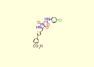 O=C(CN1C(=O)N/C(=C\c2cc(-c3ccc(C(=O)O)cc3)cs2)C1=O)Nc1ccc(Cl)cc1